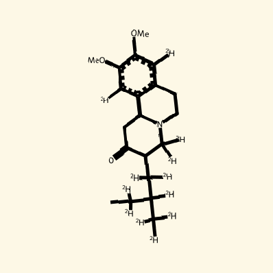 [2H]c1c2c(c([2H])c(OC)c1OC)C1CC(=O)C(C([2H])([2H])C([2H])(C([2H])([2H])[2H])C([2H])([2H])C)C([2H])([2H])N1CC2